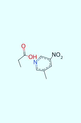 CCC(=O)O.Cc1cncc([N+](=O)[O-])c1